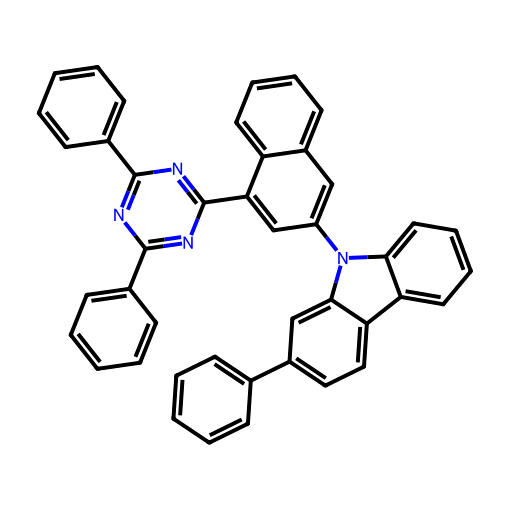 c1ccc(-c2ccc3c4ccccc4n(-c4cc(-c5nc(-c6ccccc6)nc(-c6ccccc6)n5)c5ccccc5c4)c3c2)cc1